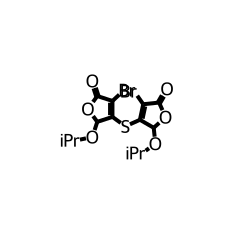 CC(C)OC1OC(=O)C(Br)=C1SC1=C(Br)C(=O)OC1OC(C)C